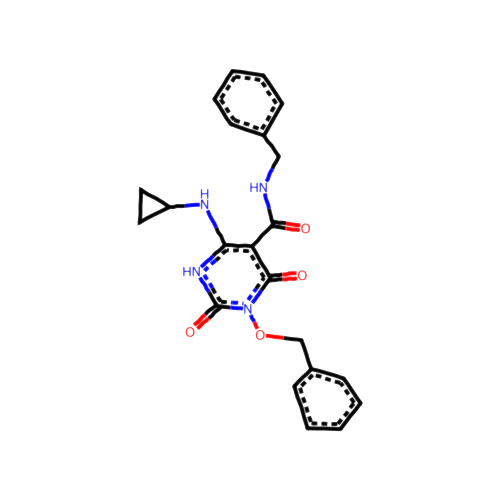 O=C(NCc1ccccc1)c1c(NC2CC2)[nH]c(=O)n(OCc2ccccc2)c1=O